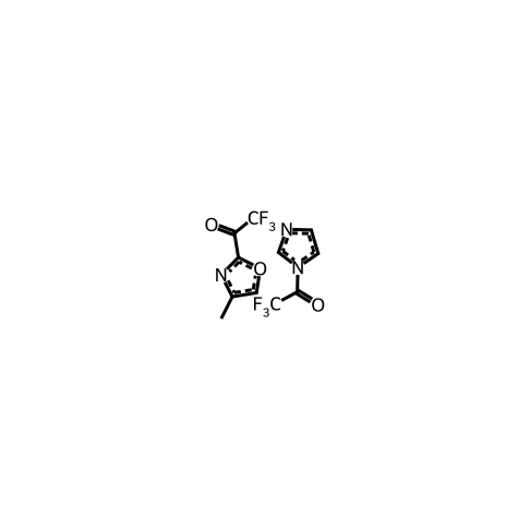 Cc1coc(C(=O)C(F)(F)F)n1.O=C(n1ccnc1)C(F)(F)F